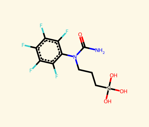 NC(=O)N(CCC[Si](O)(O)O)c1c(F)c(F)c(F)c(F)c1F